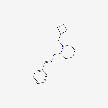 C(=C\c1ccccc1)/CC1CCCCN1CC1CCC1